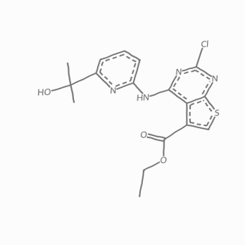 CCOC(=O)c1csc2nc(Cl)nc(Nc3cccc(C(C)(C)O)n3)c12